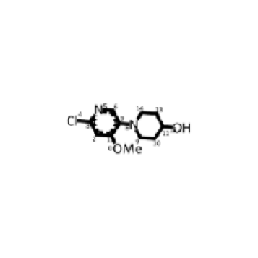 COc1cc(Cl)ncc1N1CCC(O)CC1